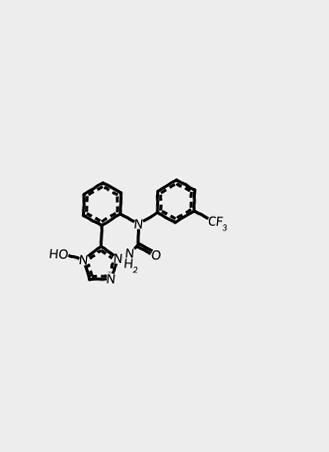 NC(=O)N(c1cccc(C(F)(F)F)c1)c1ccccc1-c1nncn1O